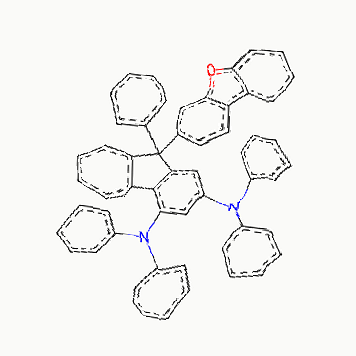 c1ccc(N(c2ccccc2)c2cc(N(c3ccccc3)c3ccccc3)c3c(c2)C(c2ccccc2)(c2ccc4c(c2)oc2ccccc24)c2ccccc2-3)cc1